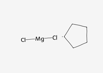 [CH]1CCCC1.[Cl][Mg][Cl]